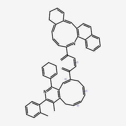 C=C(/C=C\C(=C)c1cccc2c(cc3ccc4ccccc4c3n1)C=CCC2)/C1=C/c2c(C3=CCCC=C3)nc(-c3ccccc3C)c(C)c2C/C=C\C=C/C1